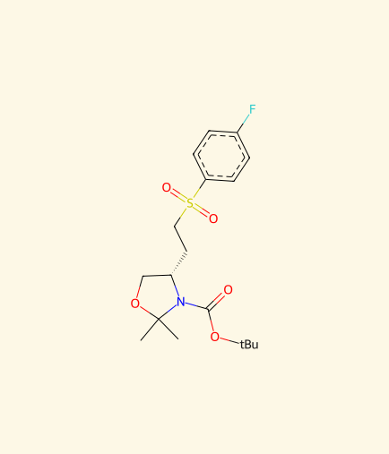 CC(C)(C)OC(=O)N1[C@@H](CCS(=O)(=O)c2ccc(F)cc2)COC1(C)C